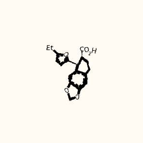 CCc1ccc([C@@H]2c3cc4c(cc3CC[C@H]2C(=O)O)OCO4)o1